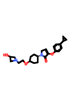 O=C1C(Oc2ccc(C3CC3)cc2)=CCN1[C@H]1CC[C@H](OCCN2CC(O)C2)CC1